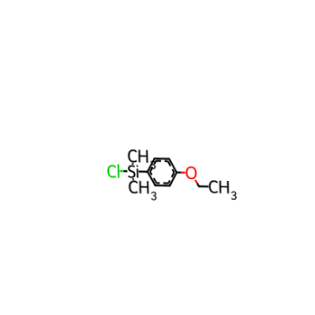 CCOc1ccc([Si](C)(C)Cl)cc1